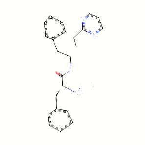 O=C(O)N[C@@H](Cc1ccccc1)C(=O)N[C@@H](CCc1ncccn1)Cc1ccccc1